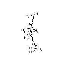 CC(C)CC(C)(C)C(=O)OC/C=C/C(C)(N)CC(C)(C)C(OC(=O)CCCN(C)C)C(C)(C)CC(C)C